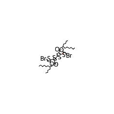 CCCCCCC(CCCC)COC(=O)c1cc(-c2cc(C(=O)OCC(CCCC)CCCCCC)c(-c3ccc(Br)s3)s2)sc1-c1ccc(Br)s1